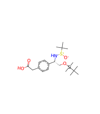 CC(C)(C)[S+]([O-])N[C@H](CO[Si](C)(C)C(C)(C)C)c1ccc(CC(=O)O)cc1